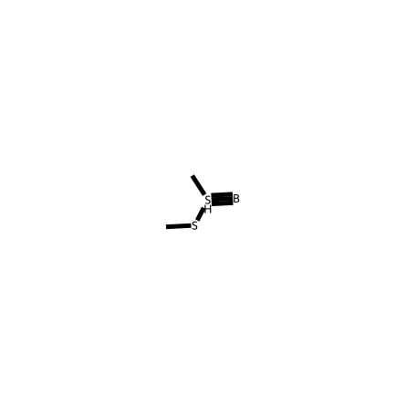 B#[SH](C)SC